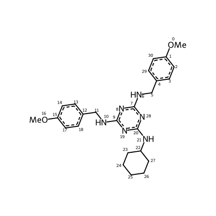 COc1ccc(CNc2nc(NCc3ccc(OC)cc3)nc(NC3CCCCC3)n2)cc1